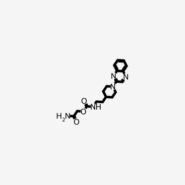 NC(=O)COC(=O)NCCC1CCN(c2cnc3ccccc3n2)CC1